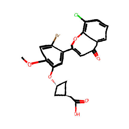 COc1cc(Br)c(-c2cc(=O)c3cccc(Cl)c3o2)cc1O[C@H]1C[C@H](C(=O)O)C1